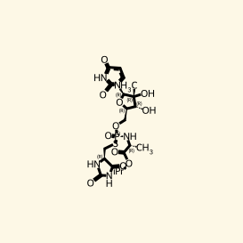 CC(C)OC(=O)[C@@H](C)N[P@](=O)(OC[C@H]1O[C@@H](n2ccc(=O)[nH]c2=O)[C@](C)(O)[C@@H]1O)SC[C@@H]1NC(=O)NC1=O